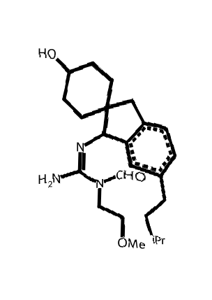 COCCN(C=O)/C(N)=N\C1c2cc(CCC(C)C)ccc2CC12CCC(O)CC2